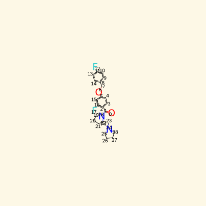 O=C(c1ccc(OCc2ccc(F)cc2)cc1F)N1CCC[C@H]1CN1CCCC1